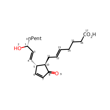 CCCCC[C@@H](O)/C=C/[C@H]1C=CC(=O)[C@@H]1CC=CCCCC(=O)O